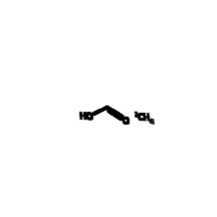 O=CO.[1CH4]